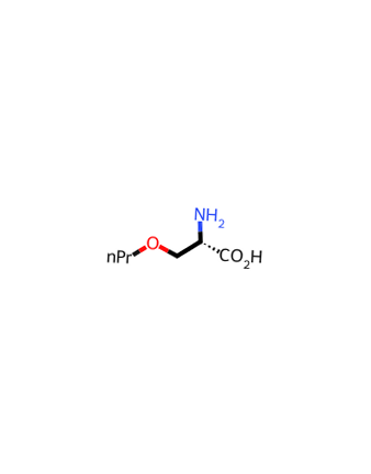 CCCOC[C@H](N)C(=O)O